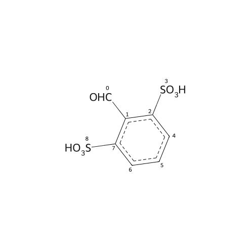 O=Cc1c(S(=O)(=O)O)cccc1S(=O)(=O)O